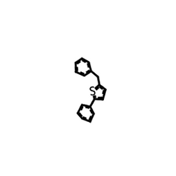 c1ccc(Cc2ccc(-c3ccccc3)s2)cc1